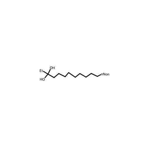 [CH2]CC(O)(O)CCCCCCCCCCCCCCCCCC